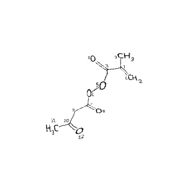 C=C(C)C(=O)OOC(=O)CC(C)=O